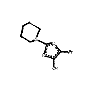 CC(C)c1oc(N2CCCCC2)nc1C#N